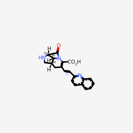 O=C(O)C1=C(/C=C/c2ccc3ccccc3n2)C[C@@H]2CN[C@@H]3C(=O)N1[C@H]23